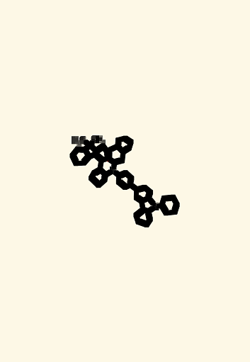 CC1(C)c2ccccc2-c2c(-c3ccccc3N(c3ccc(-c4ccc5c(c4)c4ccccc4n5-c4ccccc4)cc3)c3ccc4ccccc4c3)cccc21